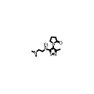 CCN(CCN(C)C)c1snc(C)c1N1CCCC1=O